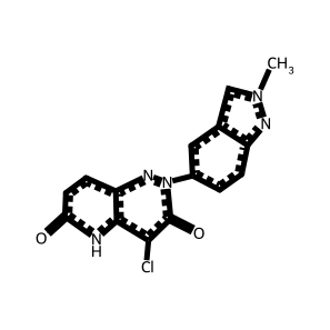 Cn1cc2cc(-n3nc4ccc(=O)[nH]c4c(Cl)c3=O)ccc2n1